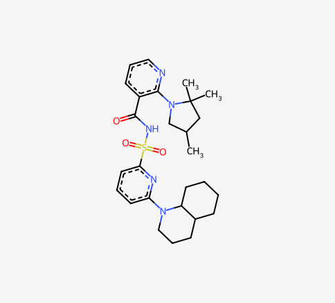 CC1CN(c2ncccc2C(=O)NS(=O)(=O)c2cccc(N3CCCC4CCCCC43)n2)C(C)(C)C1